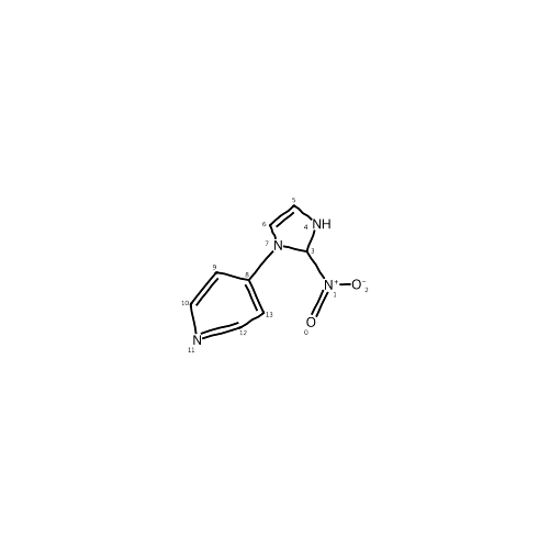 O=[N+]([O-])C1NC=CN1c1ccncc1